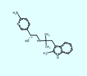 Cc1[nH]c2ccccc2c1CC(C)(C)NC[C@H](O)c1ccc(N)nc1